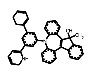 CC1(C)C2=C(c3ccccc3N(c3cc(C4=CC=CCC4)cc(C4=CC=CCN4)c3)c3ccccc32)c2ccccc21